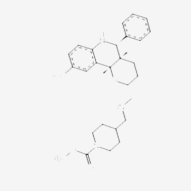 CC(C)(C)OC(=O)N1CCC(CNC[C@H]2CC[C@@H]3[C@H](O2)c2cc(C(F)(F)F)ccc2N[C@H]3c2ccccc2)CC1